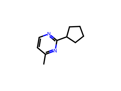 Cc1ccnc(C2CCCC2)n1